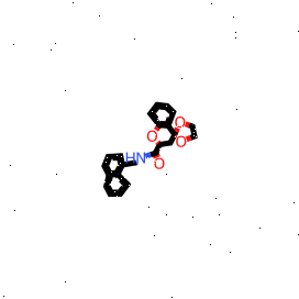 O=C(NCc1cccc2ccccc12)C1CC2(OCCO2)c2ccccc2O1